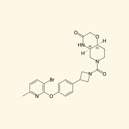 Cc1ccc(Br)c(Oc2ccc(C3CN(C(=O)N4CC[C@@H]5OCC(=O)N[C@@H]5C4)C3)cc2)n1